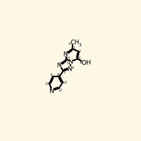 Cc1cc(O)n2nc(-c3ccncc3)nc2n1